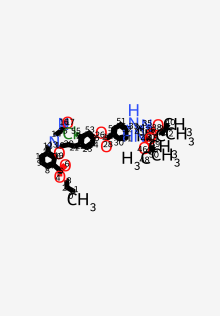 CCCCOC(=O)c1cccc(CN(CCN=O)C(=O)CCc2ccc(OC(=O)c3ccc(N/C(=N/C(=O)OC(C)(C)C)NC(=O)OC(C)(C)C)cc3)cc2Cl)c1